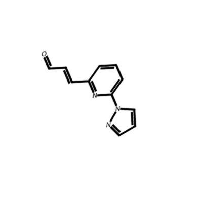 O=C/C=C/c1cccc(-n2cccn2)n1